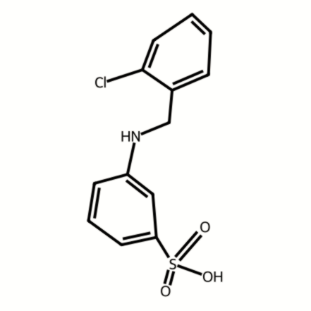 O=S(=O)(O)c1cccc(NCc2ccccc2Cl)c1